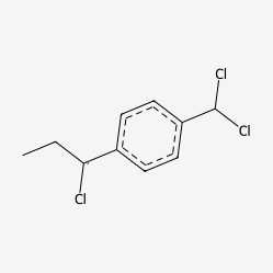 CC[C](Cl)c1ccc(C(Cl)Cl)cc1